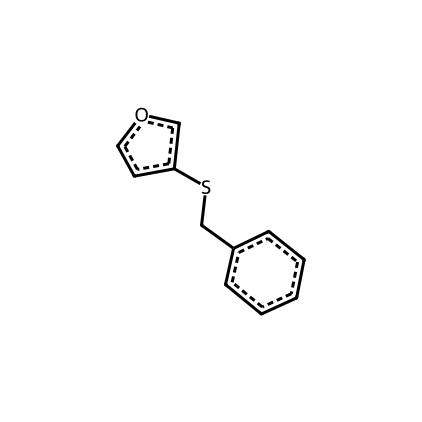 c1ccc(CSc2ccoc2)cc1